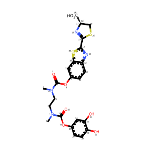 CN(CCN(C)C(=O)Oc1ccc2nc(C3=N[C@@H](C(=O)O)CS3)sc2c1)C(=O)Oc1ccc(O)c(O)c1